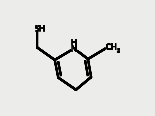 CC1=CCC=C(CS)N1